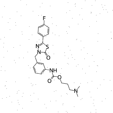 CN(C)CCCOC(=O)Nc1cccc(Cn2nc(-c3ccc(F)cc3)sc2=O)c1